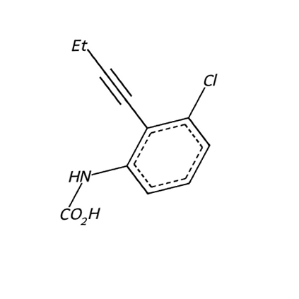 CCC#Cc1c(Cl)cccc1NC(=O)O